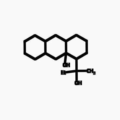 CCC(C)(O)C1CCCC2CC3CCCCC3CC21O